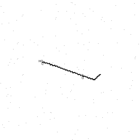 CCCCCC/C=C\CCCCCCCC(=O)OCCCCCCCCCCCCCCCCCCCCCCCCCCCCCCC(=O)O